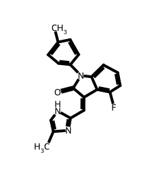 Cc1ccc(N2C(=O)C(=Cc3nc(C)c[nH]3)c3c(F)cccc32)cc1